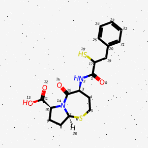 O=C(N[C@H]1CCS[C@H]2CC[C@@H](C(=O)O)N2C1=O)C(S)Cc1ccccc1